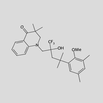 COc1c(C)cc(C)cc1C(C)(C)CC(O)(CN1CC(C)(C)C(=O)c2ccccc21)C(F)(F)F